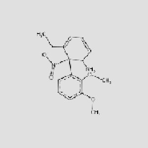 CCC1=CC=CC(N)C1(c1cccc(OC)c1OC)[N+](=O)[O-]